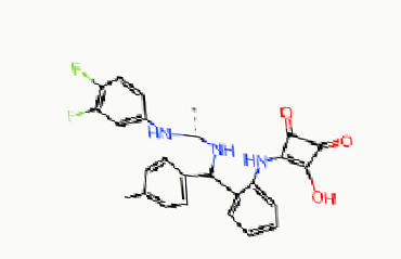 Cc1ccc(C(N[C@@H](C)Nc2ccc(F)c(F)c2)c2ccccc2Nc2c(O)c(=O)c2=O)cc1